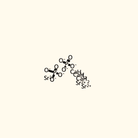 O=P([O-])([O-])[O-].O=P([O-])([O-])[O-].[CaH2].[CaH2].[CaH2].[Sr+2].[Sr+2].[Sr+2]